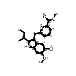 CCC(C)c1[nH]c2cc(OC)c(Cl)cc2c1Cc1cccc(C(=O)OC)n1